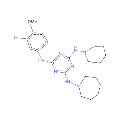 COc1ccc(Nc2nc(NC3CCCCCC3)nc(NN3CCCCC3)n2)cc1Cl